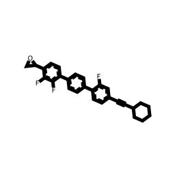 Fc1cc(C#CC2CCCCC2)ccc1-c1ccc(-c2ccc(C3CO3)c(F)c2F)cc1